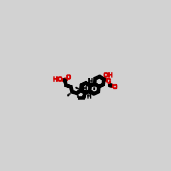 C[C@H](CCC(=O)O)[C@H]1CC[C@H]2[C@@H]3CCC4C[C@@](O)(OC=O)CC[C@]4(C)[C@H]3CC[C@]12C